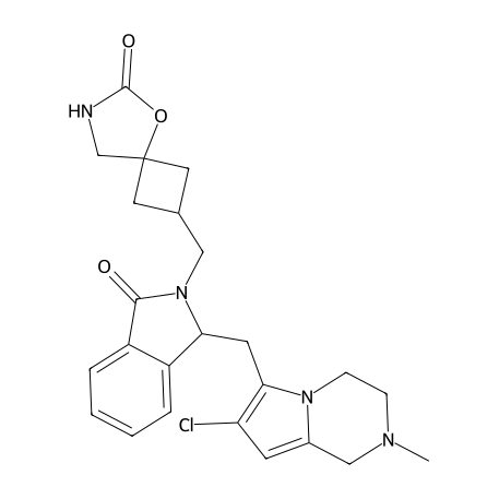 CN1CCn2c(cc(Cl)c2CC2c3ccccc3C(=O)N2CC2CC3(CNC(=O)O3)C2)C1